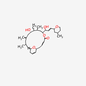 C=C1CC(C)C[C@@H]2CC=CC(C/C=C\C(=O)OC(C(O)/C=C/C3CC(C)CCO3)C[C@H](C)C(C)[C@@H](O)C1)O2